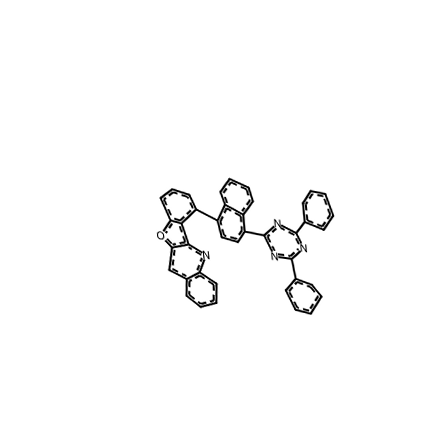 c1ccc(-c2nc(-c3ccccc3)nc(-c3ccc(-c4cccc5oc6cc7ccccc7nc6c45)c4ccccc34)n2)cc1